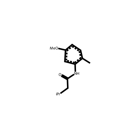 COc1ccc(C)c(NC(=O)CC(C)C)c1